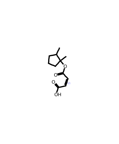 CC1CCCC1(C)OC(=O)/C=C\C(=O)O